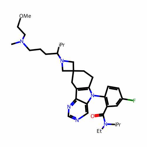 CCN(C(=O)c1cc(F)ccc1-n1c2c(c3ncncc31)CC1(CC2)CN(C(CCCN(C)CCOC)C(C)C)C1)C(C)C